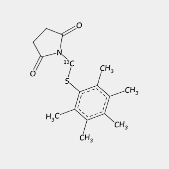 Cc1c(C)c(C)c(S[13CH2]N2C(=O)CCC2=O)c(C)c1C